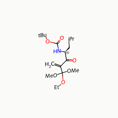 C=C(C(=O)[C@H](CC(C)C)NC(=O)OC(C)(C)C)C(OC)(OC)OCC